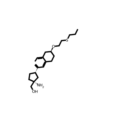 C=C(/C=C1/CC[C@H](OCCSCCC)C/C1=C/C)[C@H]1CC[C@](N)(CO)C1